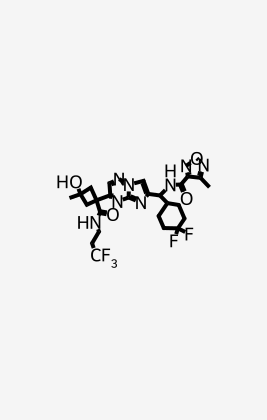 Cc1nonc1C(=O)NC(c1cn2ncc(C3(C(=O)NCCC(F)(F)F)CC(C)(O)C3)nc2n1)C1CCC(F)(F)CC1